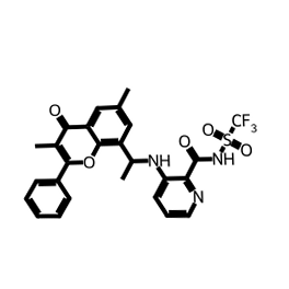 Cc1cc(C(C)Nc2cccnc2C(=O)NS(=O)(=O)C(F)(F)F)c2oc(-c3ccccc3)c(C)c(=O)c2c1